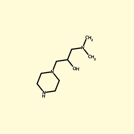 CN(C)CC(O)CN1CCNCC1